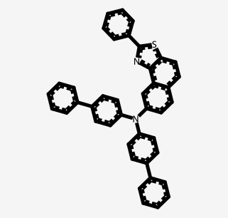 c1ccc(-c2ccc(N(c3ccc(-c4ccccc4)cc3)c3ccc4ccc5sc(-c6ccccc6)nc5c4c3)cc2)cc1